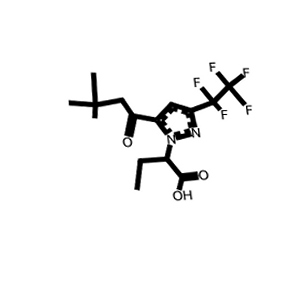 CCC(C(=O)O)n1nc(C(F)(F)C(F)(F)F)cc1C(=O)CC(C)(C)C